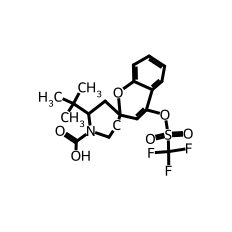 CC(C)(C)C1CC2(C=C(OS(=O)(=O)C(F)(F)F)c3ccccc3O2)CCN1C(=O)O